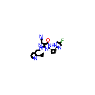 N#Cc1nn(CCc2cccnc2C2CC2)c2nc([C@H]3CC[C@@H]3c3ncc(F)cn3)[nH]c(=O)c12